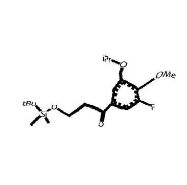 COc1c(F)cc(C(=O)CCO[Si](C)(C)C(C)(C)C)cc1OC(C)C